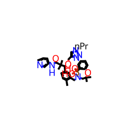 CCCn1cc(CO[C@H](c2ccc(C)c(CN3CC(C)(C)Oc4ccccc4S3(O)O)c2)C(C)(C)C(=O)Nc2cccnc2)nn1